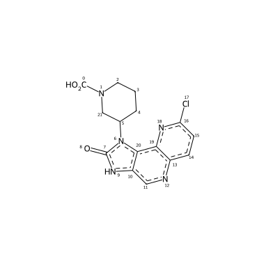 O=C(O)N1CCCC(n2c(=O)[nH]c3cnc4ccc(Cl)nc4c32)C1